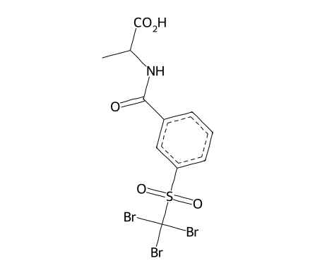 CC(NC(=O)c1cccc(S(=O)(=O)C(Br)(Br)Br)c1)C(=O)O